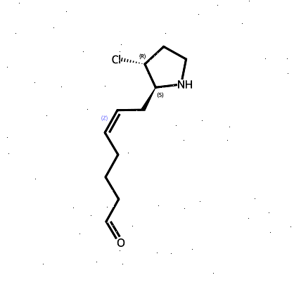 O=CCCC/C=C\C[C@@H]1NCC[C@H]1Cl